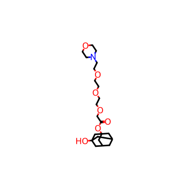 O=C(COCCOCCOCCN1CCOCC1)OC12CC3CC(CC(O)(C3)C1)C2